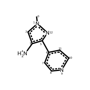 Cn1cc(N)c(-c2ccncc2)n1